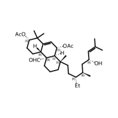 CC[C@H](CC[C@]1(C)CCC[C@@]2(C=O)[C@@H]3CC[C@H](OC(C)=O)C(C)(C)C3=C[C@H](OC(C)=O)[C@@H]12)[C@H](C)C[C@@H](O)C=C(C)C